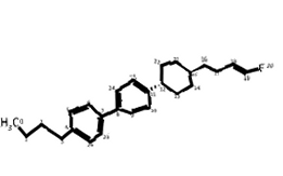 CCCCc1ccc(-c2ccc([C@H]3CC[C@H](CC/C=C/F)CC3)cc2)cc1